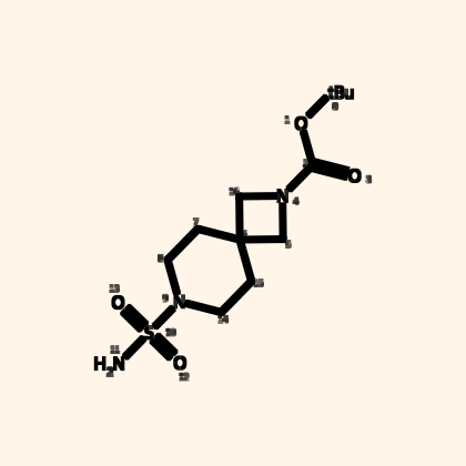 CC(C)(C)OC(=O)N1CC2(CCN(S(N)(=O)=O)CC2)C1